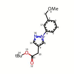 COCc1cccc(-n2cc(CC(=O)OC(C)(C)C)cn2)c1